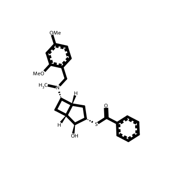 COc1ccc(CN(C)[C@H]2C[C@H]3[C@H](O)[C@@H](SC(=O)c4ccccc4)C[C@H]32)c(OC)c1